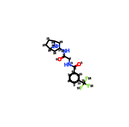 O=C(CNC(=O)c1cccc(C(F)(F)F)c1)NC1CC2CCC(C1)N2